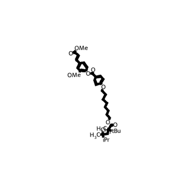 COC(=O)/C=C/c1ccc(OC(=O)c2ccc(OCCCCCCCCOC(=O)C(C)(CC(C)(C)C(C)C)C(C)(C)C)cc2)c(OC)c1